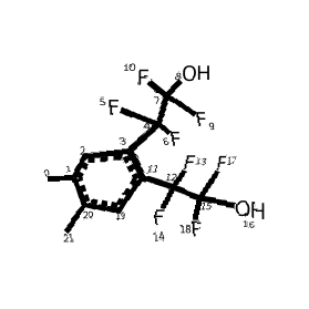 Cc1cc(C(F)(F)C(O)(F)F)c(C(F)(F)C(O)(F)F)cc1C